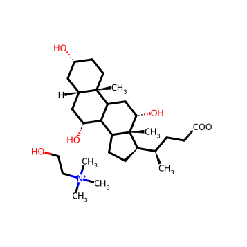 C[C@H](CCC(=O)[O-])[C@H]1CCC2C3C(C[C@H](O)[C@@]21C)[C@@]1(C)CC[C@@H](O)C[C@H]1C[C@H]3O.C[N+](C)(C)CCO